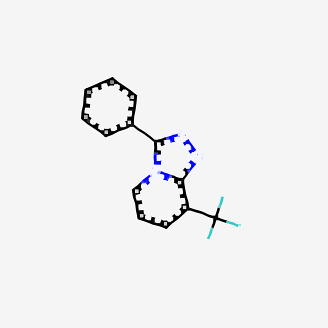 FC(F)(F)c1cccn2c(-c3ccccc3)nnc12